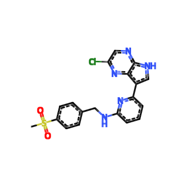 CS(=O)(=O)c1ccc(CNc2cccc(-c3c[nH]c4ncc(Cl)nc34)n2)cc1